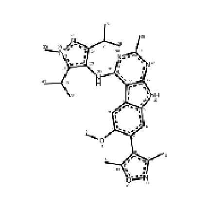 COc1cc2c(cc1-c1c(C)noc1C)[nH]c1nc(C)nc(Nc3c(C(C)C)nn(C)c3C(C)C)c12